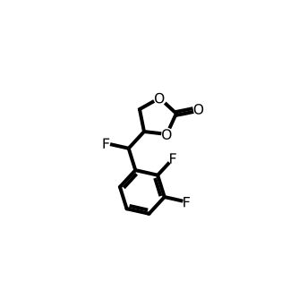 O=C1OCC(C(F)c2cccc(F)c2F)O1